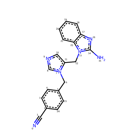 N#Cc1ccc(Cn2cncc2Cn2c(N)nc3ccccc32)cc1